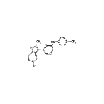 Cc1nc2ccc(Br)cc2n1-c1cncc(Nc2ccc(C(F)(F)F)cc2)n1